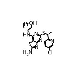 CC(C)C[C@H](CO)Nc1nc(S[C@@H](C)c2ccc(Cl)cn2)nc2nc(N)sc12